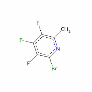 Cc1nc(Br)c(F)c(F)c1F